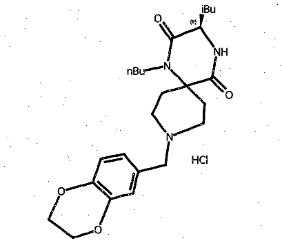 CCCCN1C(=O)[C@@H](C(C)CC)NC(=O)C12CCN(Cc1ccc3c(c1)OCCO3)CC2.Cl